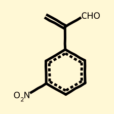 C=C(C=O)c1cccc([N+](=O)[O-])c1